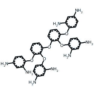 Nc1ccc(Oc2cccc(Oc3cccc(Oc4ccc(N)cc4N)c3Oc3ccc(N)cc3N)c2Oc2ccc(N)cc2N)c(N)c1